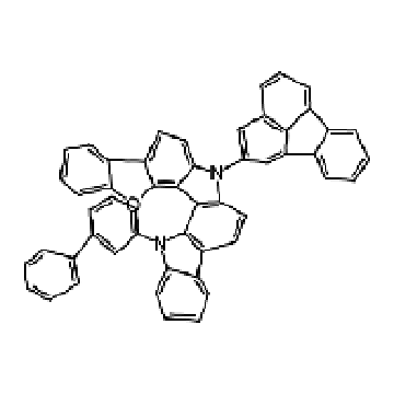 c1ccc(-c2cccc(-n3c4ccccc4c4ccc5c(c6c7oc8ccccc8c7ccc6n5-c5cc6c7c(cccc7c5)-c5ccccc5-6)c43)c2)cc1